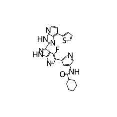 O=C(Nc1cncc(-c2cnc3[nH]nc(-c4nc5c(-c6cccs6)ccnc5[nH]4)c3c2F)c1)C1CCCCC1